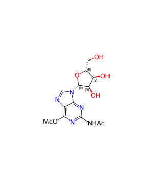 COc1nc(NC(C)=O)nc2c1ncn2[C@@H]1O[C@H](CO)[C@@H](O)[C@H]1O